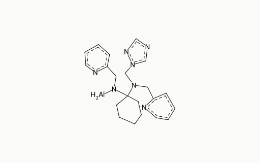 [AlH2][N](Cc1ccccn1)C1(N(Cc2ccccn2)Cn2cncn2)CCCCC1